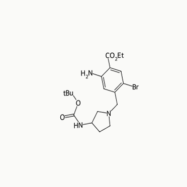 CCOC(=O)c1cc(Br)c(CN2CCC(NC(=O)OC(C)(C)C)C2)cc1N